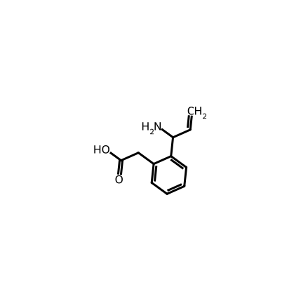 C=CC(N)c1ccccc1CC(=O)O